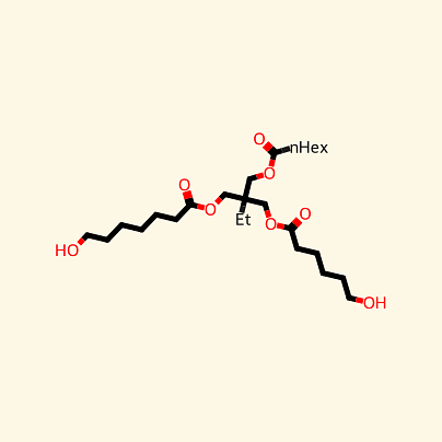 CCCCCCC(=O)OCC(CC)(COC(=O)CCCCCO)COC(=O)CCCCCCO